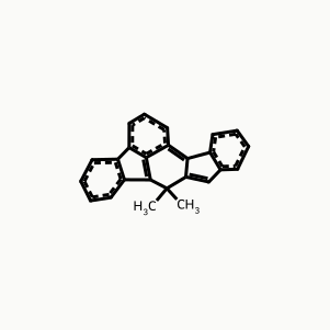 CC1(C)C2=Cc3ccccc3C2=c2cccc3c2=C1c1ccccc1-3